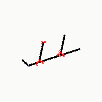 CCCCCCCCC=CCCCCCCCC(=O)OCC(COC(=O)CCCCCCCCCCCCCCCCC)OC(=O)CCCCCCCC=CCCCCCCCC(=O)OCC(COC(=O)CCCCCCC/C=C\CCCCCCCC)OC(=O)CCCCCCCC=CCCCCCCCC(=O)O